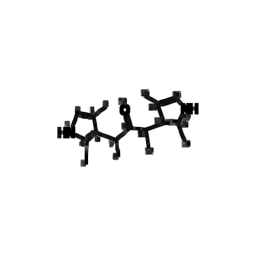 Cc1c[nH]c(C)c1C(C)C(=O)C(C)c1c(C)c[nH]c1C